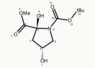 COC(=O)[C@@]1(O)C[C@@H](O)CN1C(=O)OC(C)(C)C